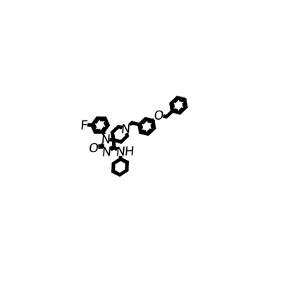 O=C1N=C(NC2CCCCC2)C2(CCN(Cc3cccc(OCc4ccccc4)c3)CC2)N1c1cccc(F)c1